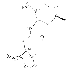 CC(C)[C@@H]1CC[C@@H](C)CC1OC(=O)CC1=CCCC1=O